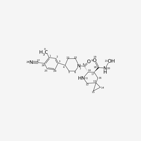 Cc1cc(C2CCN(C(=O)[C@H]3NCC4(CC4)C[C@@H]3C(=O)NO)CC2)ccc1C#N